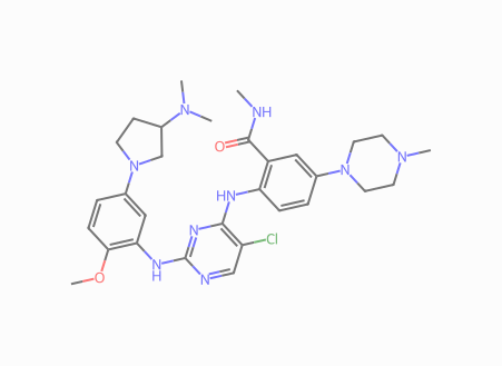 CNC(=O)c1cc(N2CCN(C)CC2)ccc1Nc1nc(Nc2cc(N3CCC(N(C)C)C3)ccc2OC)ncc1Cl